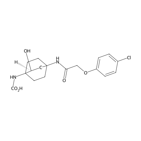 O=C(O)NC12CCC(NC(=O)COc3ccc(Cl)cc3)(CC1)C[C@@H]2O